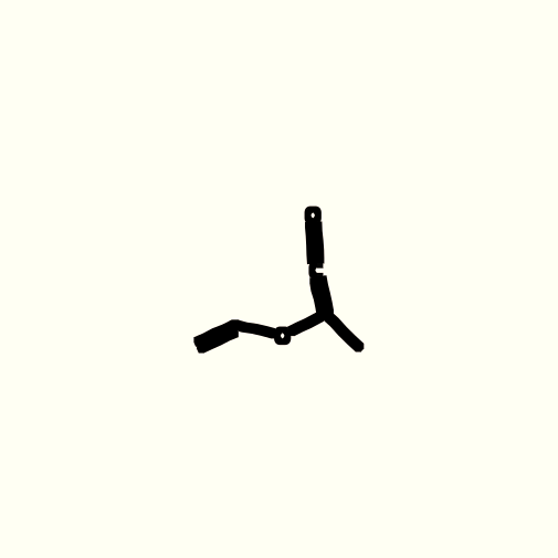 C=COC(C)=C=O